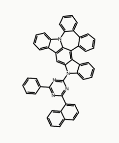 c1ccc(-c2nc(-c3cccc4ccccc34)nc(-n3c4ccccc4c4c5c6c(cc43)c3ccccc3n6-c3ccccc3-c3ccccc3-5)n2)cc1